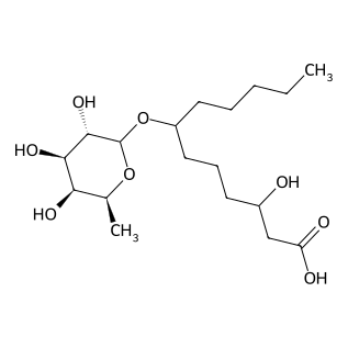 CCCCCC(CCCC(O)CC(=O)O)OC1O[C@@H](C)[C@@H](O)[C@@H](O)[C@@H]1O